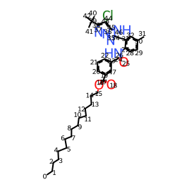 CCCCCCCCCCCCCCCCOC(=O)c1cccc(C(=O)Nc2ccc(C)cc2-c2nn3nc(C(C)(C)C)c(Cl)c3[nH]2)c1